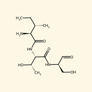 CC[C@H](C)[C@H](N)C(=O)N[C@H](C(=O)N[C@@H]([C]=O)CO)[C@H](C)O